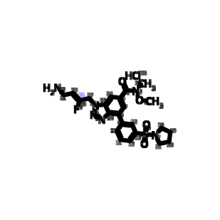 CON(C)C(=O)c1cc(-c2cccc(S(=O)(=O)N3CCCC3)c2)c2nnn(C/C(F)=C/CN)c2c1.Cl